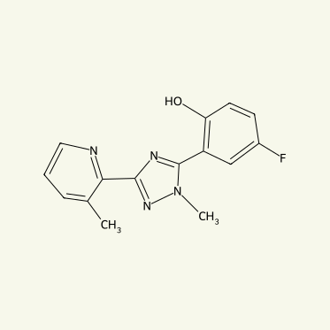 Cc1cccnc1-c1nc(-c2cc(F)ccc2O)n(C)n1